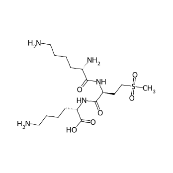 CS(=O)(=O)CC[C@H](NC(=O)[C@@H](N)CCCCN)C(=O)N[C@@H](CCCCN)C(=O)O